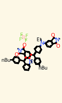 CCCCc1ccc(C(=CC=CC(=C2C=CC(=[N+](CC)c3ccc4c(c3)C(=O)N(C)C4=O)C=C2)c2ccc(CCCC)cc2)c2ccccc2N(CC)c2ccc3c(c2)C(=O)N(C)C3=O)cc1.F[B-](F)(F)F